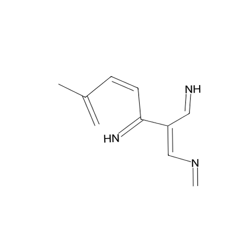 C=N/C=C(\C=N)C(=N)/C=C\C(=C)C